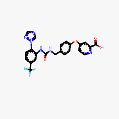 O=C(NCc1ccc(Oc2ccnc(C(=O)O)c2)cc1)Nc1cc(C(F)(F)F)ccc1-n1cncn1